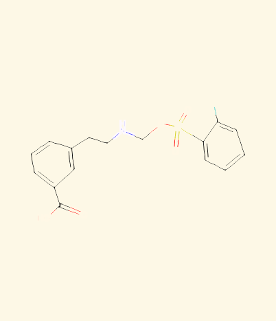 O=C(O)c1cccc(CCNCOS(=O)(=O)c2ccccc2F)c1